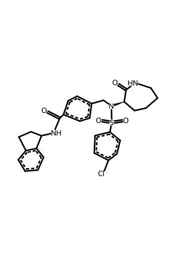 O=C(NC1CCc2ccccc21)c1ccc(CN([C@@H]2CCCCNC2=O)S(=O)(=O)c2ccc(Cl)cc2)cc1